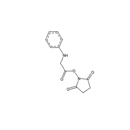 O=C(CNc1ccccc1)ON1C(=O)CCC1=O